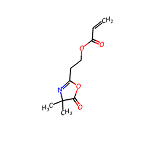 C=CC(=O)OCCC1=NC(C)(C)C(=O)O1